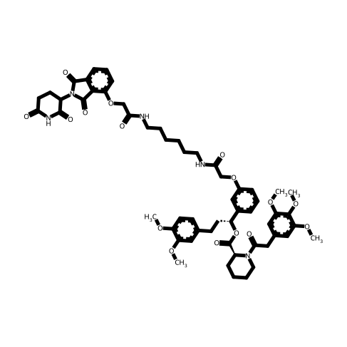 COc1ccc(CC[C@@H](OC(=O)[C@@H]2CCCCN2C(=O)Cc2cc(OC)c(OC)c(OC)c2)c2cccc(OCC(=O)NCCCCCCNC(=O)COc3cccc4c3C(=O)N(C3CCC(=O)NC3=O)C4=O)c2)cc1OC